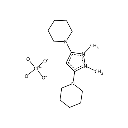 Cn1c(N2CCCCC2)cc(N2CCCCC2)[n+]1C.[O-][Cl+3]([O-])([O-])[O-]